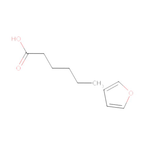 CCCCCC(=O)O.c1ccoc1